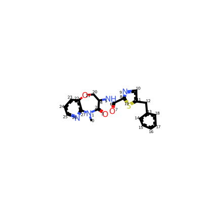 CN1C(=O)C(NC(=O)c2ncc(Cc3ccccc3)s2)COc2cccnc21